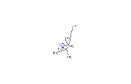 CCCCCCCCCCCC(C)(CCCC)C(CC(CC)(CCCC)CCCCC)c1ncncn1